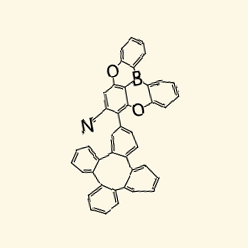 N#Cc1cc2c3c(c1-c1ccc4c(c1)-c1ccccc1-c1ccccc1-c1ccccc1-4)Oc1ccccc1B3c1ccccc1O2